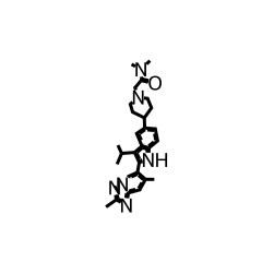 Cc1nc2cc(C)c(-c3[nH]c4ccc(C5CCN(CC(=O)N(C)C)CC5)cc4c3C(C)C)cn2n1